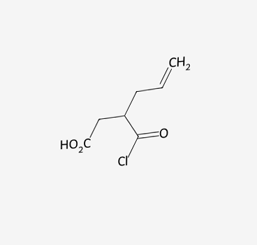 C=CCC(CC(=O)O)C(=O)Cl